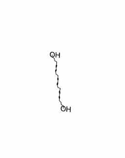 OCCCCC#CC#CCCC#CC#CCCC#CC#CCCCCO